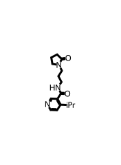 CC(C)c1ccncc1C(=O)NCCCN1CCCC1=O